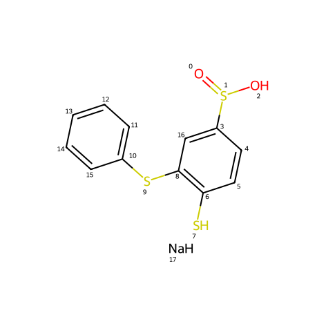 O=S(O)c1ccc(S)c(Sc2ccccc2)c1.[NaH]